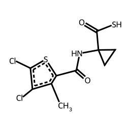 Cc1c(C(=O)NC2(C(=O)S)CC2)sc(Cl)c1Cl